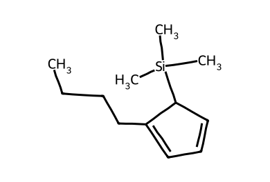 CCCCC1=CC=CC1[Si](C)(C)C